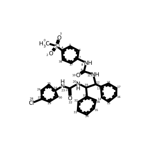 CS(=O)(=O)c1ccc(NC(=O)NC(c2ccccc2)C(NC(=O)Nc2ccc(Cl)cc2)c2ccccc2)cc1